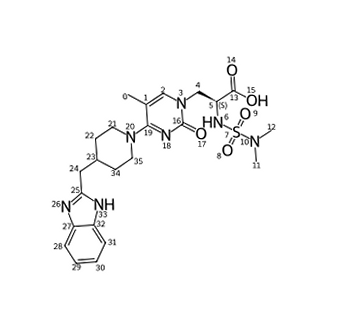 Cc1cn(C[C@H](NS(=O)(=O)N(C)C)C(=O)O)c(=O)nc1N1CCC(Cc2nc3ccccc3[nH]2)CC1